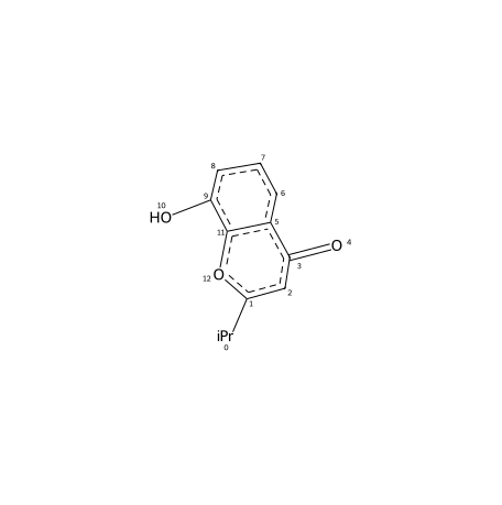 CC(C)c1cc(=O)c2cccc(O)c2o1